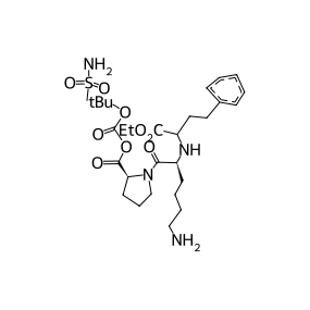 CCOC(=O)C(CCc1ccccc1)N[C@@H](CCCCN)C(=O)N1CCC[C@H]1C(=O)OC(=O)OC(C)(C)C.CS(N)(=O)=O